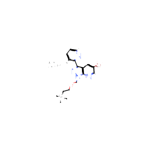 COc1cccnc1-c1nn(COCC[Si](C)(C)C)c2ncc(Br)cc12